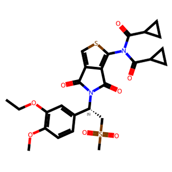 CCOc1cc([C@@H](CS(C)(=O)=O)N2C(=O)c3csc(N(C(=O)C4CC4)C(=O)C4CC4)c3C2=O)ccc1OC